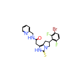 O=C(Cc1[nH]c(=S)n2c1CC(c1c(F)ccc(Br)c1F)C2)NCc1ccccn1